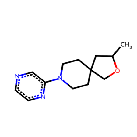 CC1CC2(CCN(c3cnccn3)CC2)CO1